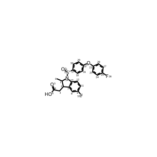 CC1C(CC(=O)O)c2cc(F)ccc2N1[S+]([O-])c1ccc(Oc2ccc(F)cc2)cc1